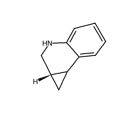 c1ccc2c(c1)NC[C@H]1CC21